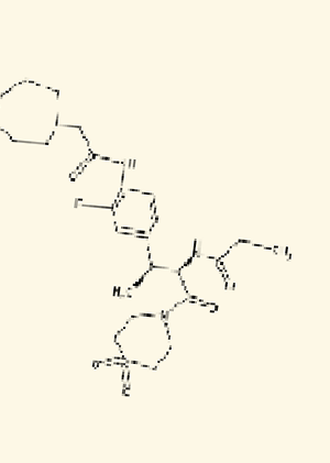 CCC(=O)N[C@@H](C(=O)N1CCS(=O)(=O)CC1)[C@@H](C)c1ccc(NC(=O)CC2CCCCCC2)c(F)c1